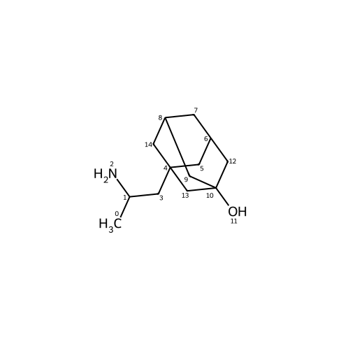 CC(N)CC12CC3CC(CC(O)(C3)C1)C2